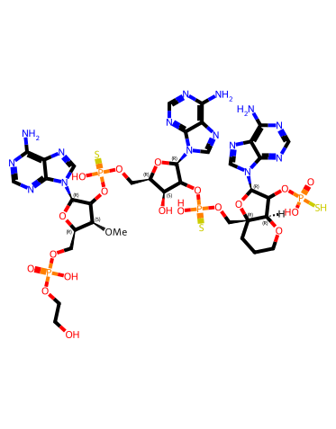 CO[C@@H]1C(OP(O)(=S)OC[C@H]2O[C@@H](n3cnc4c(N)ncnc43)C(OP(O)(=S)OC[C@]34CCCO[C@@H]3C(OP(=O)(O)S)[C@H](n3cnc5c(N)ncnc53)O4)[C@H]2O)[C@H](n2cnc3c(N)ncnc32)O[C@@H]1COP(=O)(O)OCCO